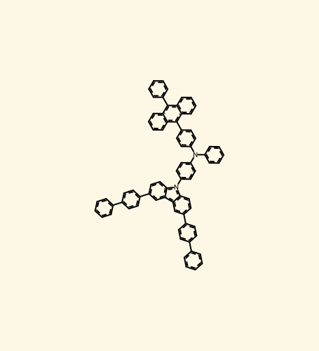 c1ccc(-c2ccc(-c3ccc4c(c3)c3cc(-c5ccc(-c6ccccc6)cc5)ccc3n4-c3ccc(N(c4ccccc4)c4ccc(-c5c6ccccc6c(-c6ccccc6)c6ccccc56)cc4)cc3)cc2)cc1